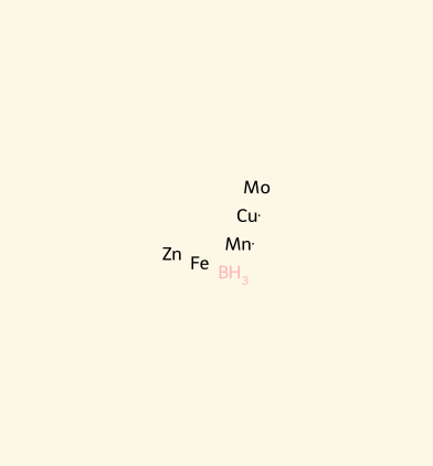 B.[Cu].[Fe].[Mn].[Mo].[Zn]